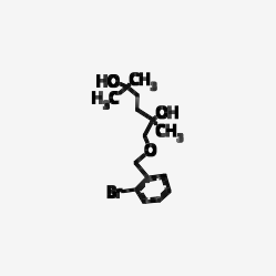 CC(C)(O)CCC(C)(O)COCc1ccccc1Br